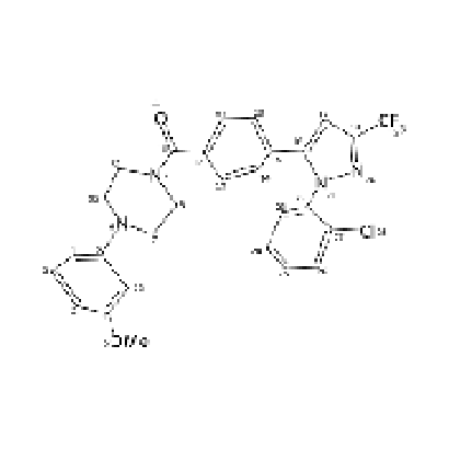 COc1cccc(N2CCN(C(=O)c3ccc(-c4cc(C(F)(F)F)nn4-c4ccccc4Cl)cc3)CC2)c1